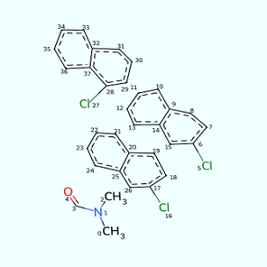 CN(C)C=O.Clc1ccc2ccccc2c1.Clc1ccc2ccccc2c1.Clc1cccc2ccccc12